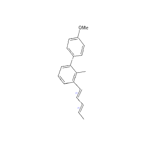 C/C=C/C=C/c1cccc(-c2ccc(OC)cc2)c1C